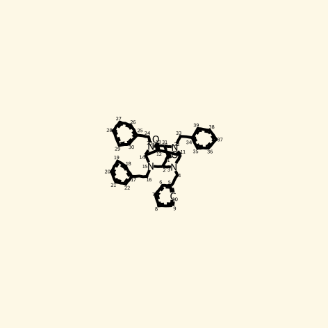 O=C1C2N(Cc3ccccc3)C3C(=O)C(N2Cc2ccccc2)N(Cc2ccccc2)C1N3Cc1ccccc1